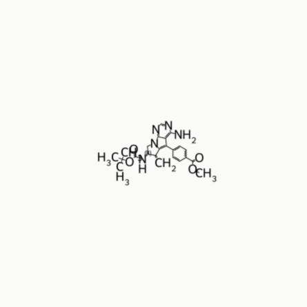 C=C1c2c(-c3ccc(C(=O)OC)cc3)c3c(N)ncnc3n2C[C@@H]1NC(=O)OC(C)(C)C